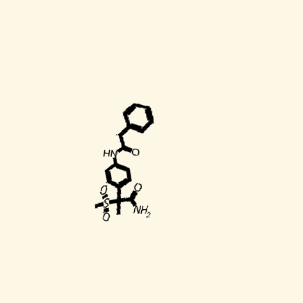 CC(C(N)=O)(c1ccc(NC(=O)[CH]c2ccccc2)cc1)S(C)(=O)=O